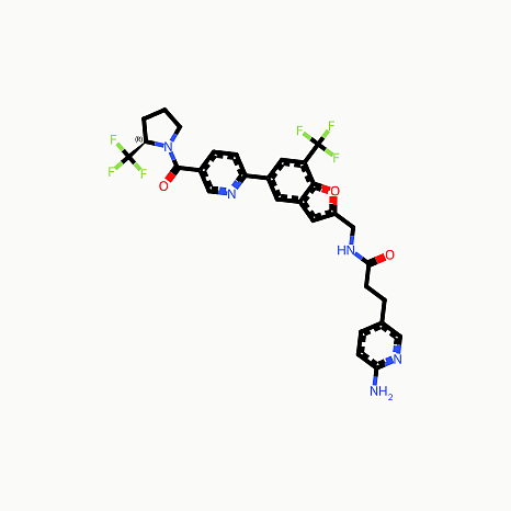 Nc1ccc(CCC(=O)NCc2cc3cc(-c4ccc(C(=O)N5CCC[C@@H]5C(F)(F)F)cn4)cc(C(F)(F)F)c3o2)cn1